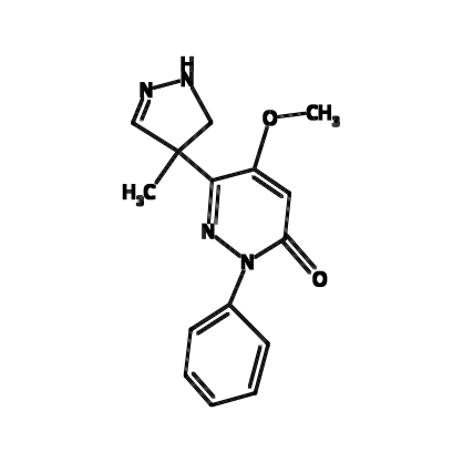 COc1cc(=O)n(-c2ccccc2)nc1C1(C)C=NNC1